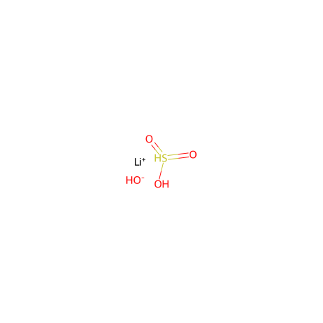 O=[SH](=O)O.[Li+].[OH-]